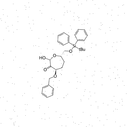 CC(C)(C)[Si](OC[C@@H]1CC[C@@H](OCc2ccccc2)C(=O)C(O)O1)(c1ccccc1)c1ccccc1